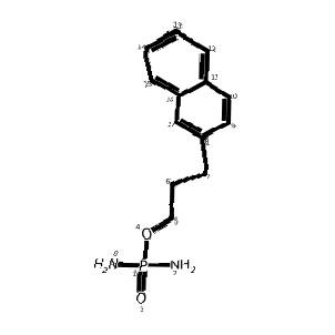 NP(N)(=O)OCCCc1ccc2ccccc2c1